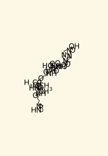 Cc1cc(OCCCC(=O)NCCNC(=O)[C@H](CS(=O)(=O)O)NC(=O)CCC(C(=O)O)N2CCCN3CCN(CCCN(CC(=O)O)CC3)CC2)cc(C)c1S(=O)(=O)N[C@@H](CNC(=O)CCCCc1ccc2c(n1)NCCC2)C(=O)O